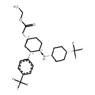 CCOC(=O)C[C@@H]1CC[C@@H](N[C@H]2CC[C@@H](C(F)(F)F)CC2)[C@H](c2ccc(C(F)(F)F)cc2)C1